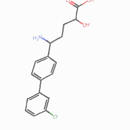 NC(CCC(O)C(=O)O)c1ccc(-c2cccc(Cl)c2)cc1